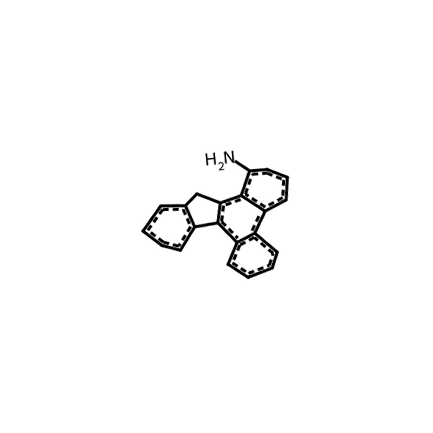 Nc1cccc2c1c1c(c3ccccc32)-c2ccccc2C1